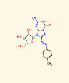 Cc1ccc(/N=N/c2nc3c(=O)[nH]c(N)nc3n2[C@@H]2O[C@H](CO)[C@H](O)C2O)cc1